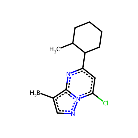 Bc1cnn2c(Cl)cc(C3CCCCC3C)nc12